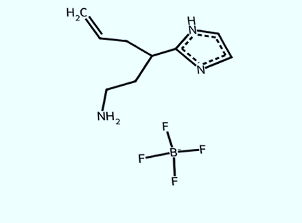 C=CCC(CCN)c1ncc[nH]1.F[B-](F)(F)F